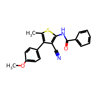 COc1ccc(-c2c(C)sc(NC(=O)c3ccccc3)c2C#N)cc1